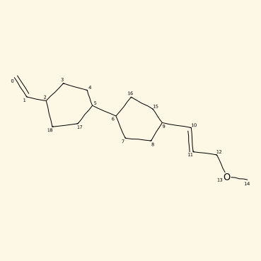 C=CC1CCC(C2CCC(/C=C/COC)CC2)CC1